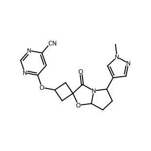 Cn1cc(C2CCC3OC4(CC(Oc5cc(C#N)ncn5)C4)C(=O)N32)cn1